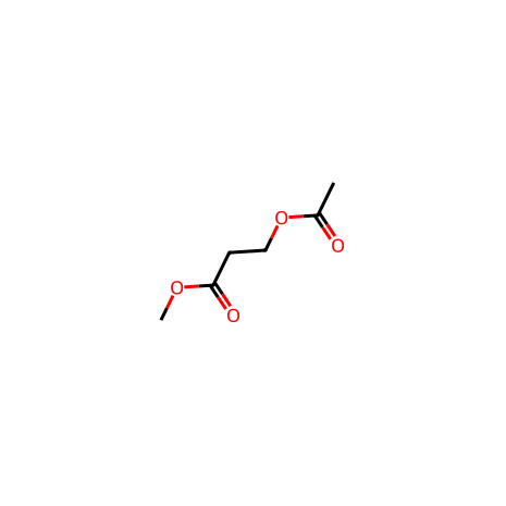 COC(=O)CCOC(C)=O